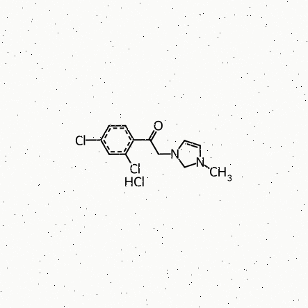 CN1C=CN(CC(=O)c2ccc(Cl)cc2Cl)C1.Cl